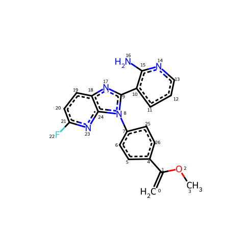 C=C(OC)c1ccc(-n2c(-c3cccnc3N)nc3ccc(F)nc32)cc1